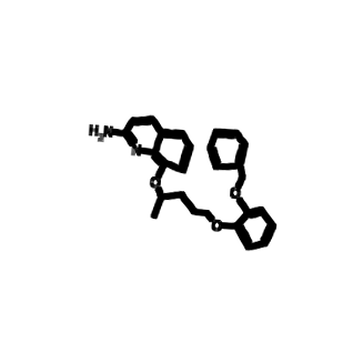 CC(CCCOc1ccccc1OCc1ccccc1)Oc1cccc2ccc(N)nc12